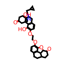 O=C1CCC2(O)C3Cc4ccc(OCCOc5ccc6c7c5OC5C(=O)CCC(CC6)C75)c(O)c4C2(CCN3CC2CC2)C1